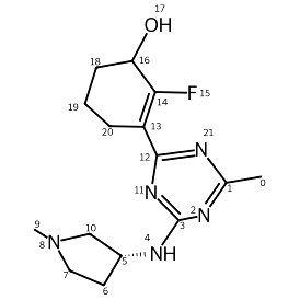 Cc1nc(N[C@@H]2CCN(C)C2)nc(C2=C(F)C(O)CCC2)n1